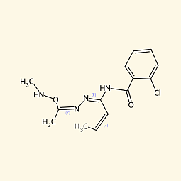 C\C=C/C(=N\N=C(\C)ONC)NC(=O)c1ccccc1Cl